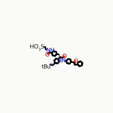 CC(C)(C)/C=C/c1ccc([C@H](Cc2ccc(C(=O)NCCS(=O)(=O)O)cc2)C(=O)Nc2ccc(-c3cc4ccccc4o3)cc2)cc1